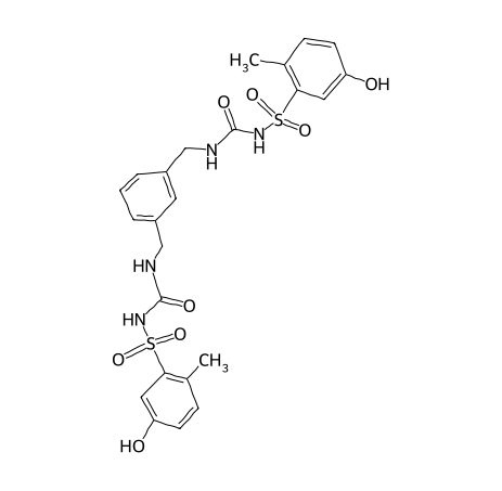 Cc1ccc(O)cc1S(=O)(=O)NC(=O)NCc1cccc(CNC(=O)NS(=O)(=O)c2cc(O)ccc2C)c1